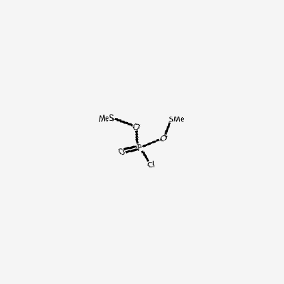 CSOP(=O)(Cl)OSC